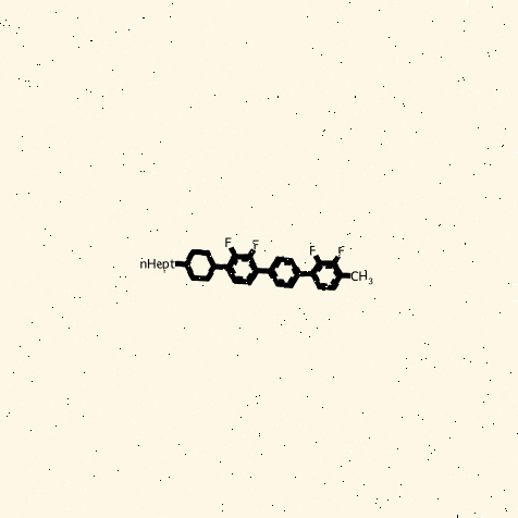 CCCCCCCC1CCC(c2ccc(-c3ccc(-c4ccc(C)c(F)c4F)cc3)c(F)c2F)CC1